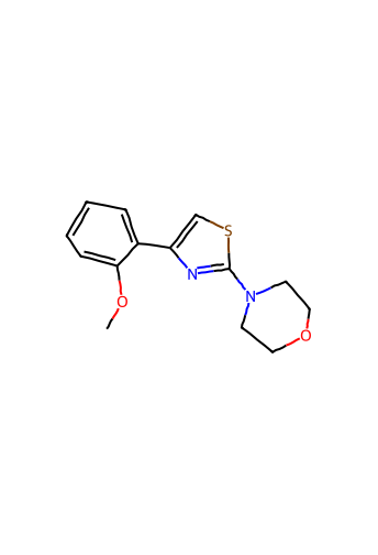 COc1ccccc1-c1csc(N2CCOCC2)n1